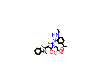 CCNc1ccc(C(C)=O)cc1/N=C1/S/C(=C2\Sc3ccccc3N2C)C(=O)N1CC(=O)OC